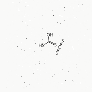 OC(=S)S.S=C=S